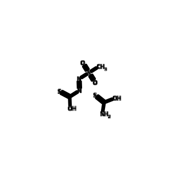 CS(=O)(=O)N=NC(O)=S.NC(O)=S